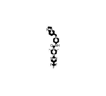 C[C@@H]1CN(c2ncc(C(F)(F)F)cn2)C[C@H](C)N1C(=O)NC1CCN(Cc2ccc3nccn3c2)CC1